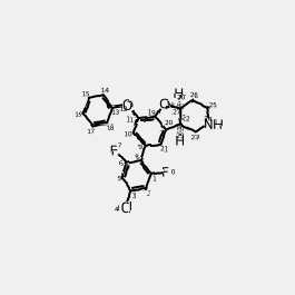 Fc1cc(Cl)cc(F)c1-c1cc(Oc2ccccc2)c2c(c1)[C@@H]1CNCC[C@@H]1O2